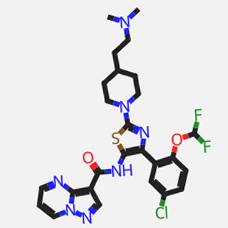 CN(C)CCC1CCN(c2nc(-c3cc(Cl)ccc3OC(F)F)c(NC(=O)c3cnn4cccnc34)s2)CC1